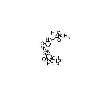 CN(C)C(=O)CCNc1ccc2c(c1)OCCN2c1nc2c(s1)C(=O)NC(C)(C)C2